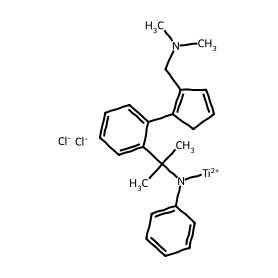 CN(C)CC1=C(c2ccccc2C(C)(C)[N]([Ti+2])c2ccccc2)CC=C1.[Cl-].[Cl-]